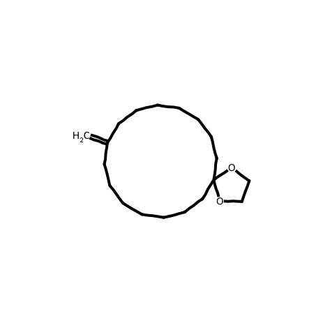 C=C1CCCCCCCC2(CCCCCCC1)OCCO2